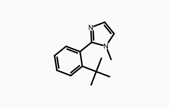 Cn1ccnc1-c1ccccc1C(C)(C)C